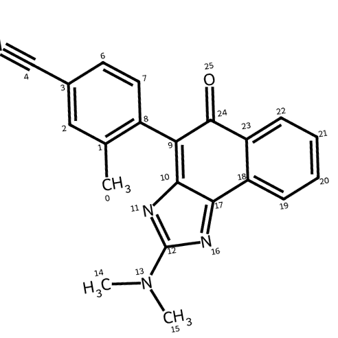 Cc1cc(C#N)ccc1C1=C2N=C(N(C)C)N=C2c2ccccc2C1=O